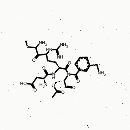 CCC(N)C(=O)C(CC[C@H](NC(=O)[C@@H](N)CC(=O)O)C(=O)N(C(=O)c1cccc(CN)c1)[C@H]([C]=O)COC(C)=O)NC(=N)N